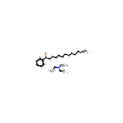 CCCCCCCCCCCCC(S)c1ccccc1.CCN(CC)CC